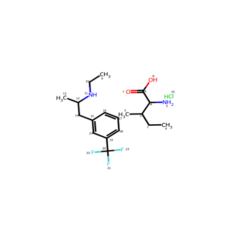 CCC(C)C(N)C(=O)O.CCNC(C)Cc1cccc(C(F)(F)F)c1.Cl